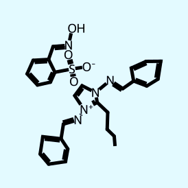 CCCCc1n(N=Cc2ccccc2)cc[n+]1N=Cc1ccccc1.O=S(=O)([O-])c1ccccc1C=NO